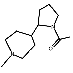 CC(=O)N1CCCC1C1CCN(C)CC1